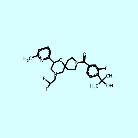 Cc1cccc(C2CN(CC(F)F)CC3(CCN(C(=O)c4ccc(C(C)(C)O)c(F)c4)CC3)O2)n1